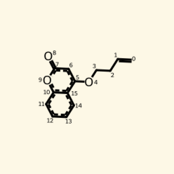 C=CCCOc1cc(=O)oc2ccccc12